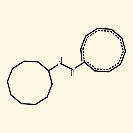 c1ccccc(NNC2CCCCCCCCC2)cccc1